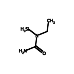 CCN([SiH3])C(N)=O